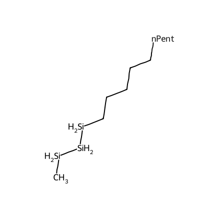 CCCCCCCCCC[SiH2][SiH2][SiH2]C